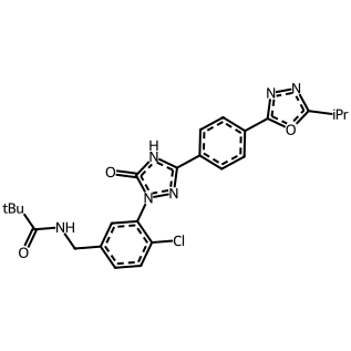 CC(C)c1nnc(-c2ccc(-c3nn(-c4cc(CNC(=O)C(C)(C)C)ccc4Cl)c(=O)[nH]3)cc2)o1